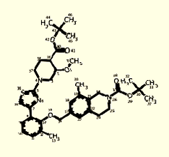 CO[C@H]1CN(c2nc(-c3cccc(C)c3OCc3cc(C)c4c(c3)CCN(C(=O)OC(C)(C)C)C4)cs2)CC[C@H]1C(=O)OC(C)(C)C